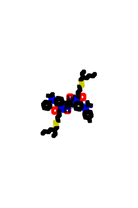 CCCCC(CC)CSCCCC(=O)NC1=CC(=[N+](/c2ccc(C)cc2)C(C)C)/C=CC/1=C1\C(=O)C(c2ccc(N(c3ccccc3)C(C)C)cc2NC(=O)CCCSCC(CC)CCCC)=C1[O-]